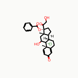 C[C@]12C=CC(=O)C=C1CC[C@H]1[C@@H]3CC[C@](OC(=O)c4ccccc4)(C(=O)CO)[C@@]3(C)CC(O)[C@@]12Cl